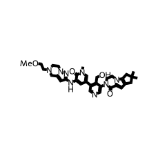 COCCN1CCn2nc(Nc3cc(-c4cncc(N5CCn6c(cc7c6CC(C)(C)C7)C5=O)c4CO)cn(C)c3=O)cc2C1